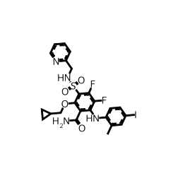 Cc1cc(I)ccc1Nc1c(F)c(F)c(S(=O)(=O)NCc2ccccn2)c(OCC2CC2)c1C(N)=O